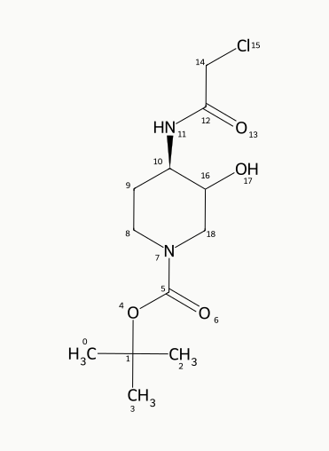 CC(C)(C)OC(=O)N1CC[C@@H](NC(=O)CCl)C(O)C1